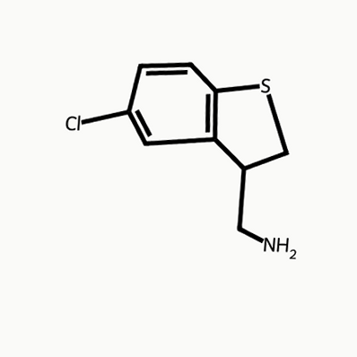 NCC1CSc2ccc(Cl)cc21